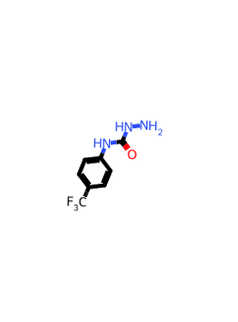 NNC(=O)Nc1ccc(C(F)(F)F)cc1